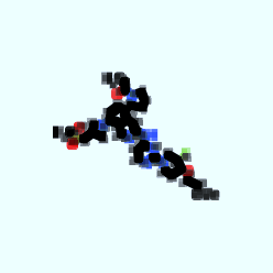 C=CC(=O)N1CCC[C@H]1c1ccc(N2CC(CS(C)(=O)=O)C2)c2cnc(Nc3ccnc(N4CC[C@@H](OCCOC)[C@@H](F)C4)n3)cc12